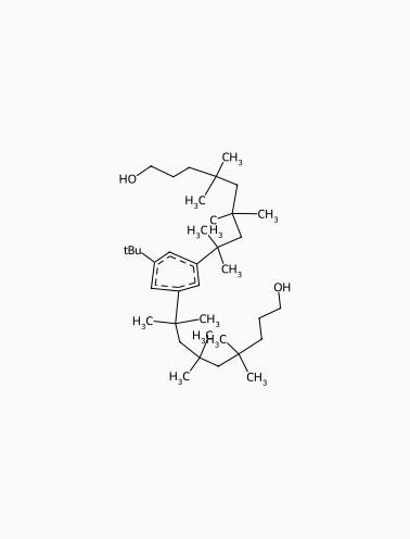 CC(C)(CCCO)CC(C)(C)CC(C)(C)c1cc(C(C)(C)C)cc(C(C)(C)CC(C)(C)CC(C)(C)CCCO)c1